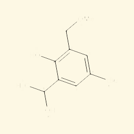 COCc1cc(C(C)(C)C)cc(C(C)O)c1O